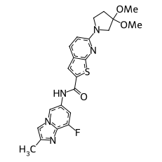 COC1(OC)CCN(c2ccc3cc(C(=O)Nc4cc(F)c5nc(C)cn5c4)sc3n2)C1